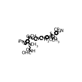 CC(C)n1ccc2c(N(C)CCC(=O)NC=O)cc(C(=O)N(C)CC3CCN(C4CCN(c5ccc(N6C(=S)N(c7ccc(C#N)c(C(F)(F)F)c7)C(=O)C6(C)C)cc5)CC4)CC3)cc21